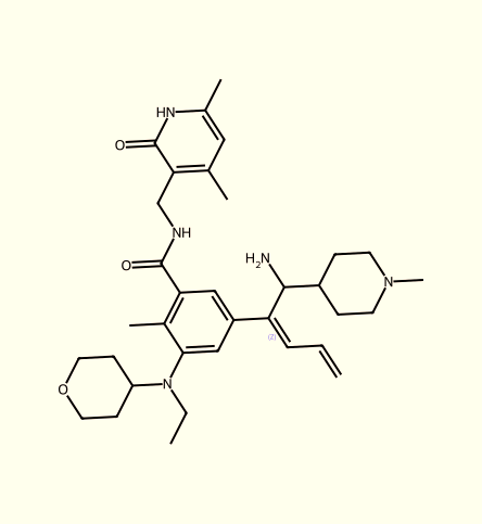 C=C/C=C(/c1cc(C(=O)NCc2c(C)cc(C)[nH]c2=O)c(C)c(N(CC)C2CCOCC2)c1)C(N)C1CCN(C)CC1